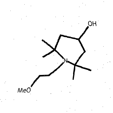 COCCN1C(C)(C)CC(O)CC1(C)C